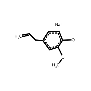 C=CCc1ccc([O-])c(OC)c1.[Na+]